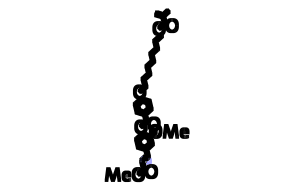 C=C(C)C(=O)OCCCCCCCCCOc1ccc(C(=O)Oc2ccc(/C=C/C(=O)OC)cc2OC)cc1